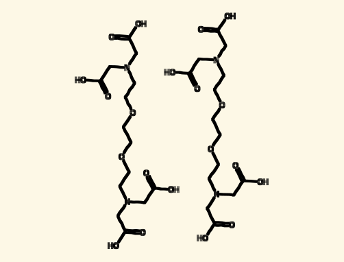 O=C(O)CN(CCOCCOCCN(CC(=O)O)CC(=O)O)CC(=O)O.O=C(O)CN(CCOCCOCCN(CC(=O)O)CC(=O)O)CC(=O)O